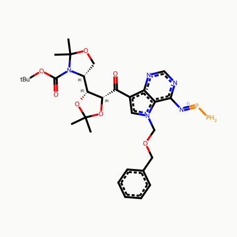 CC(C)(C)OC(=O)N1[C@@H]([C@H]2OC(C)(C)O[C@H]2C(=O)c2cn(COCc3ccccc3)c3c(/N=P/P)ncnc23)COC1(C)C